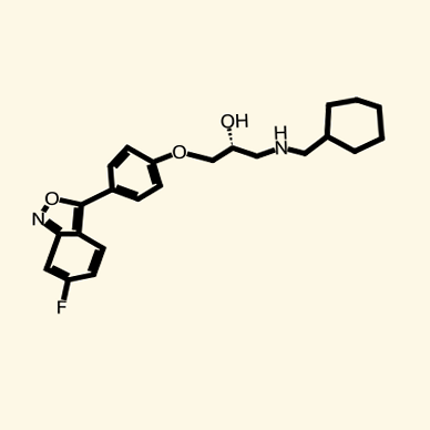 O[C@H](CNCC1CCCCC1)COc1ccc(-c2onc3cc(F)ccc23)cc1